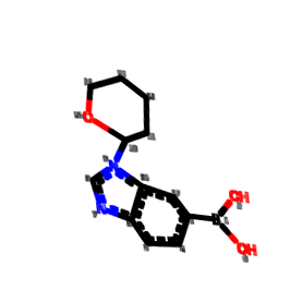 OB(O)c1ccc2ncn(C3CCCCO3)c2c1